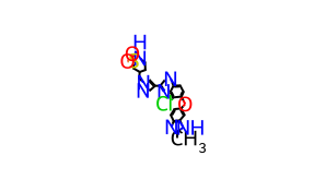 Cc1nc2ccc(Oc3ccc4ncc(-c5cnn(CC6CCNS(=O)(=O)C6)c5)nc4c3Cl)cc2[nH]1